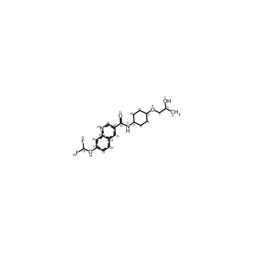 CC(O)COC1CCC(NC(=O)c2cnc3cc(OC(F)F)ccc3c2)CC1